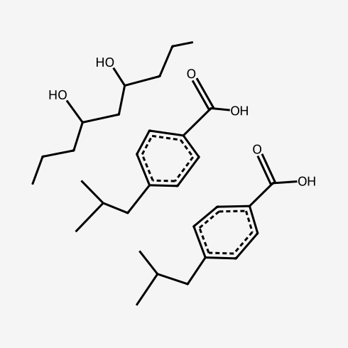 CC(C)Cc1ccc(C(=O)O)cc1.CC(C)Cc1ccc(C(=O)O)cc1.CCCC(O)CC(O)CCC